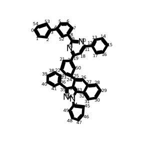 c1ccc(-c2cccc(-c3nc(-c4ccccc4)cc(-c4cccc(-c5cc6ccccc6c6c5c(-c5ccccc5)nn6-c5ccccc5)c4)n3)c2)cc1